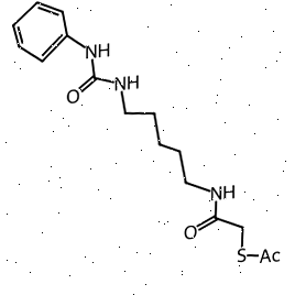 CC(=O)SCC(=O)NCCCCCNC(=O)Nc1ccccc1